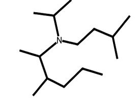 CCCC(C)C(C)N(CCC(C)C)C(C)C